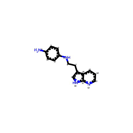 Nc1ccc(NCCc2c[nH]c3ncccc23)cc1